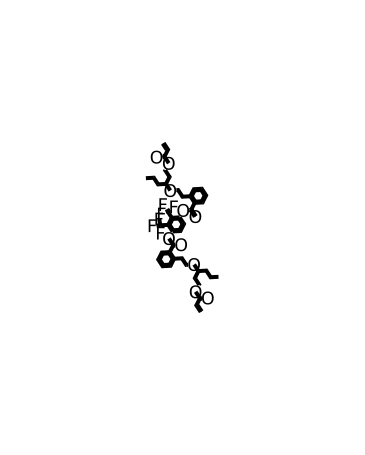 C=CC(=O)OCCC(CCC)OCCc1ccccc1C(=O)Oc1ccc(OC(=O)c2ccccc2CCOC(CCC)CCOC(=O)C=C)c(C(F)(F)F)c1C(F)(F)F